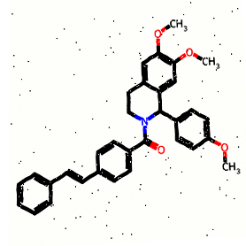 COc1ccc(C2c3cc(OC)c(OC)cc3CCN2C(=O)c2ccc(C=Cc3ccccc3)cc2)cc1